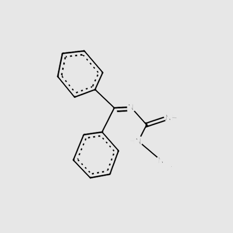 N=C(N=C(c1ccccc1)c1ccccc1)NN